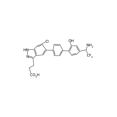 NC(c1ccc(-c2ccc(-c3cc4c(CCC(=O)O)n[nH]c4cc3Cl)cc2)c(O)c1)C(F)(F)F